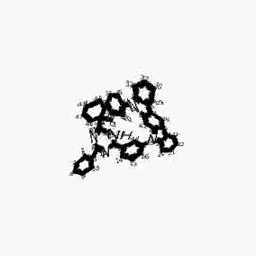 CC1(C2=NC(c3ccccc3)=NC(c3cccc(-n4c5ccccc5c5cc6c7ccccc7n(-c7ccccc7)c6cc54)c3)N2)C=CC=CC1